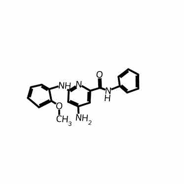 COc1ccccc1Nc1cc(N)cc(C(=O)Nc2ccccc2)n1